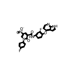 O=C(Nc1ccc(Oc2ccnc3[nH]ccc23)c(F)c1)c1cc([N+](=O)[O-])cn(-c2ccc(F)cc2)c1=O